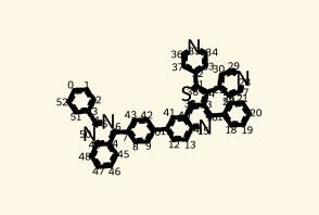 c1ccc(-c2nc(-c3ccc(-c4ccc5nc(-c6ccccc6)c6c(-c7ccncc7)c(-c7ccncc7)sc6c5c4)cc3)c3ccccc3n2)cc1